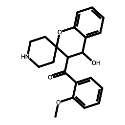 COc1ccccc1C(=O)C1C(O)c2ccccc2OC12CCNCC2